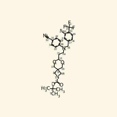 CC(C)(C)OC(=O)N1CC2(COC(CCN(Cc3ccc(C(F)(F)F)c(F)c3)c3ccc(C#N)cc3)OC2)C1